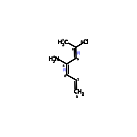 C=C/C=C(N)\C=C(/C)Cl